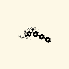 CC(C)N(c1ccc(-c2ccc(-c3ccccc3)cc2)cc1)c1ccc(C(C)(C)C)cc1